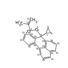 C=C(C)C(=O)OC1(C2CC2)c2ccccc2-c2cccc3cccc1c23